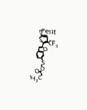 C=CC(=O)OCSc1ccc2cc(-c3sc(CCCCC)cc3C(F)(F)F)oc2c1